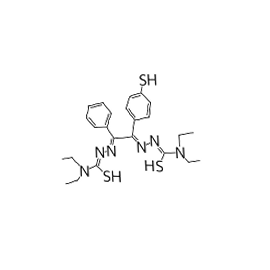 CCN(CC)/C(S)=N/N=C(/C(=N/N=C(\S)N(CC)CC)c1ccc(S)cc1)c1ccccc1